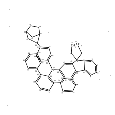 CCC1(CC)c2ccccc2-c2ccc(N(c3ccc(C4CC5CCC4C5)cc3)c3c(-c4ccccc4)cccc3-c3ccccc3)cc21